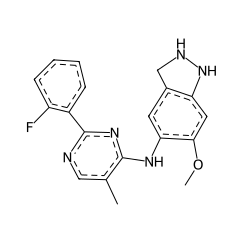 COc1cc2c(cc1Nc1nc(-c3ccccc3F)ncc1C)CNN2